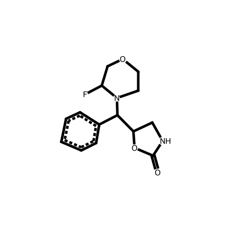 O=C1NCC(C(c2ccccc2)N2CCOCC2F)O1